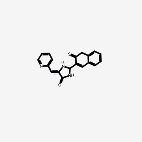 O=C1NC(C2=Cc3ccccc3CC2=S)N/C1=C\c1ccccn1